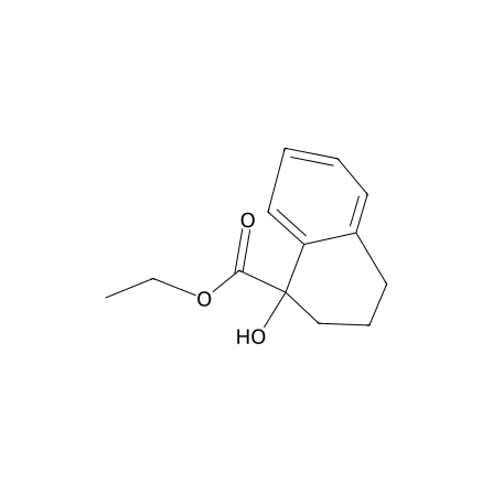 CCOC(=O)C1(O)CCCc2ccccc21